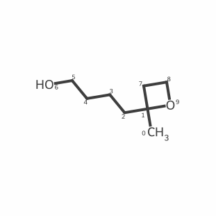 CC1(CCCCO)CCO1